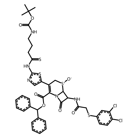 CC(C)(C)OC(=O)NCCCC(=S)Nc1ncc(C2=C(C(=O)OC(c3ccccc3)c3ccccc3)N3C(=O)C(NC(=O)CSc4ccc(Cl)c(Cl)c4)C3[S+]([O-])C2)s1